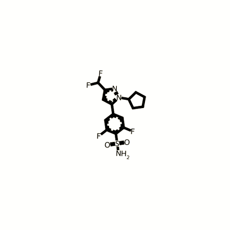 NS(=O)(=O)c1c(F)cc(-c2cc(C(F)F)nn2C2CCCC2)cc1F